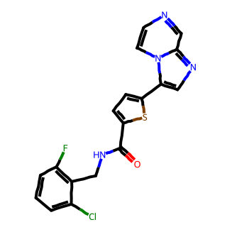 O=C(NCc1c(F)cccc1Cl)c1ccc(-c2cnc3cnccn23)s1